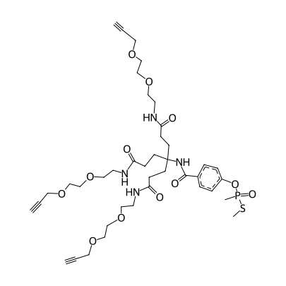 C#CCOCCOCCNC(=O)CCC(CCC(=O)NCCOCCOCC#C)(CCC(=O)NCCOCCOCC#C)NC(=O)c1ccc(OP(C)(=O)SC)cc1